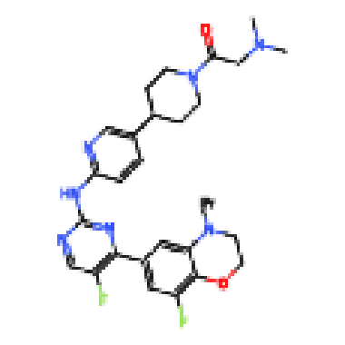 CC(C)N1CCOc2c(F)cc(-c3nc(Nc4ccc(C5CCN(C(=O)CN(C)C)CC5)cn4)ncc3F)cc21